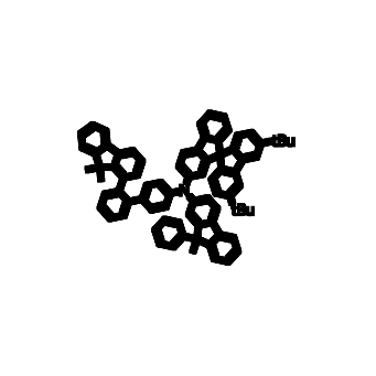 CC(C)(C)c1ccc2c(c1)-c1cc(C(C)(C)C)ccc1C21c2ccccc2-c2ccc(N(c3ccc(-c4ccccc4-c4cccc5c4C(C)(C)c4ccccc4-5)cc3)c3ccc4c(c3)C(C)(c3ccccc3)c3ccccc3-4)cc21